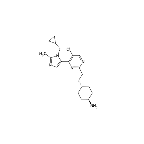 Cc1ncc(-c2nc(CC[C@H]3CC[C@H](N)CC3)ncc2Cl)n1CC1CC1